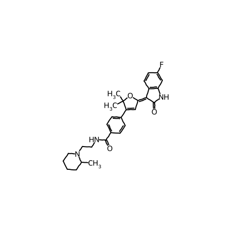 CC1CCCCN1CCNC(=O)c1ccc(C2=C/C(=C3\C(=O)Nc4cc(F)ccc43)OC2(C)C)cc1